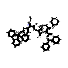 CO/N=C(\C(=O)NC1C(=O)N2C(C(=O)OC(c3ccccc3)c3ccccc3)=C(SC3CCOCC3)CS[C@@H]12)c1csc(NC(c2ccccc2)(c2ccccc2)c2ccccc2)n1